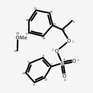 CC(OOS(=O)(=O)c1ccccc1)c1ccccc1.COC